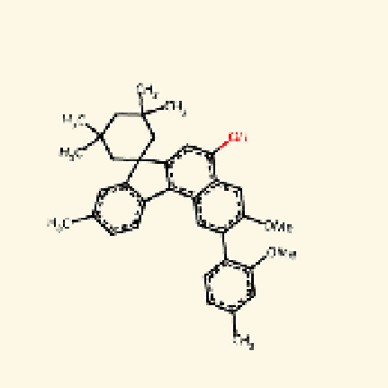 COc1cc(C)ccc1-c1cc2c3c(cc(O)c2cc1OC)C1(CC(C)(C)CC(C)(C)C1)c1cc(C)ccc1-3